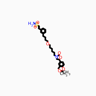 CC1(C)OCc2cc(C3CN(CCCCCCOCCCCc4cccc(/C=C/S(N)(=O)=O)c4)C(=O)O3)ccc2O1